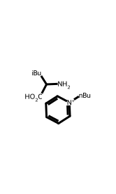 CCC(C)C(N)C(=O)O.CCCC[n+]1ccccc1